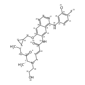 CCOC(=O)[C@@H](C)N(C/C=C/C(=O)Nc1cc2c(Nc3ccc(F)c(Cl)c3)ncnc2cc1OCC1CC1)CCO